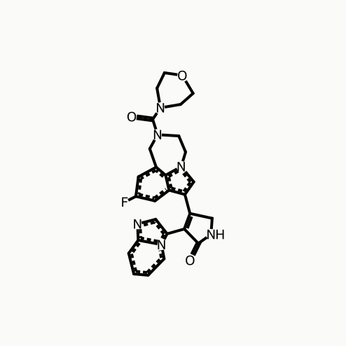 O=C1NCC(c2cn3c4c(cc(F)cc24)CN(C(=O)N2CCOCC2)CC3)=C1c1cnc2ccccn12